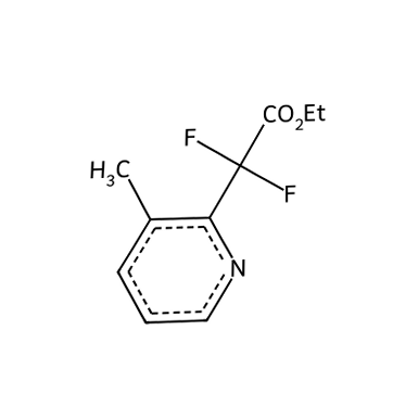 CCOC(=O)C(F)(F)c1ncccc1C